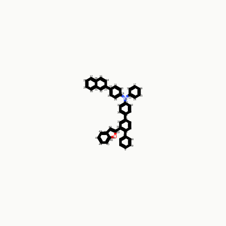 c1ccc(-c2ccc(-c3ccc(N(c4ccccc4)c4ccc(-c5ccc6ccccc6c5)cc4)cc3)cc2-c2cc3ccccc3o2)cc1